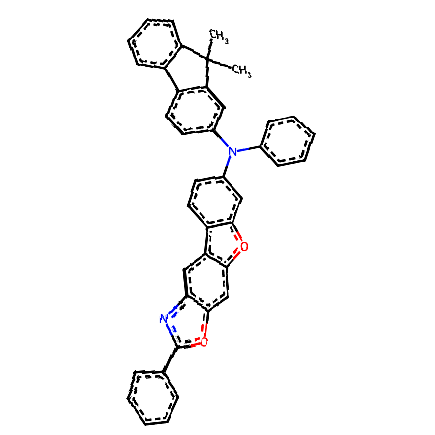 CC1(C)c2ccccc2-c2ccc(N(c3ccccc3)c3ccc4c(c3)oc3cc5oc(-c6ccccc6)nc5cc34)cc21